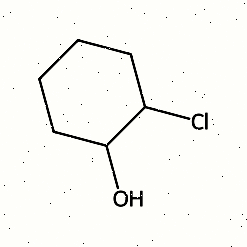 OC1CCCCC1Cl